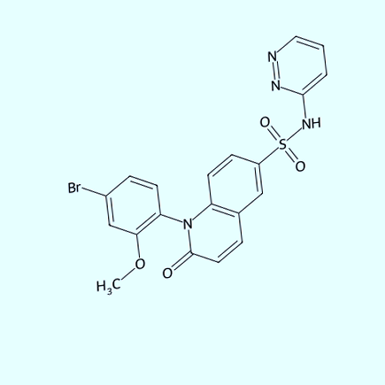 COc1cc(Br)ccc1-n1c(=O)ccc2cc(S(=O)(=O)Nc3cccnn3)ccc21